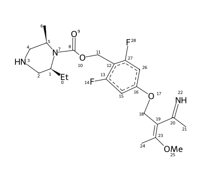 CC[C@H]1CNC[C@@H](C)N1C(=O)OCc1c(F)cc(OC/C(C(C)=N)=C(\C)OC)cc1F